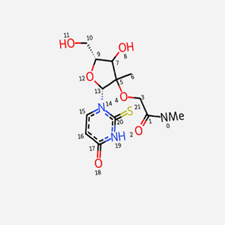 CNC(=O)COC1(C)C(O)[C@@H](CO)O[C@H]1n1ccc(=O)[nH]c1=S